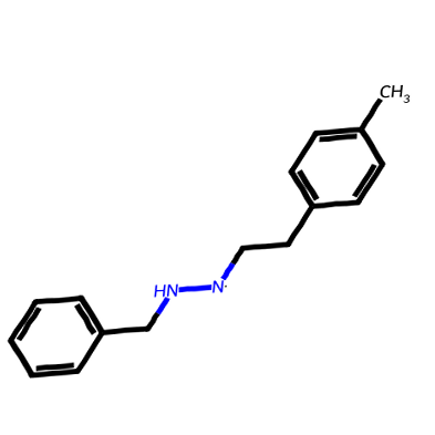 Cc1ccc(CC[N]NCc2ccccc2)cc1